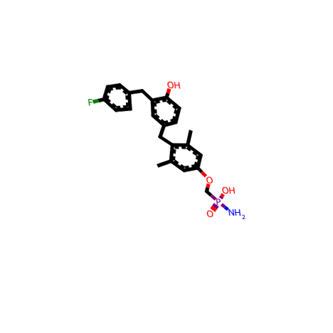 Cc1cc(OCP(N)(=O)O)cc(C)c1Cc1ccc(O)c(Cc2ccc(F)cc2)c1